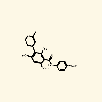 CCCCCc1cc(O)c(C2C=C(C)CCC2)c(O)c1C(=O)Nc1ccc(OC)cc1